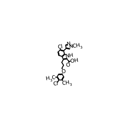 Cc1cc(OCCCc2c(C(=O)O)[nH]c3c(-c4cnn(C)c4)c(Cl)ccc23)cc(C)c1Cl